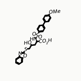 COc1ccc(-c2ccc(S(=O)(=O)NC(CC(O)CSc3nc4ccccc4o3)C(=O)O)cc2)cc1